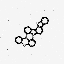 c1ccc2c(c1)Oc1cccc3c1B2c1cccc2c4c5oc6ccccc6c5ccc4n-3c12